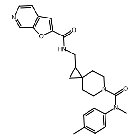 Cc1ccc(N(C)C(=O)N2CCC3(CC2)CC3CNC(=O)c2cc3ccncc3o2)cc1